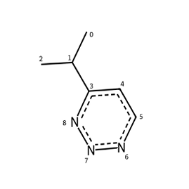 CC(C)c1ccnnn1